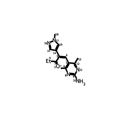 CCC(=O)/C(=C\c1c(C)nc(N)nc1C)c1cnn(C)c1